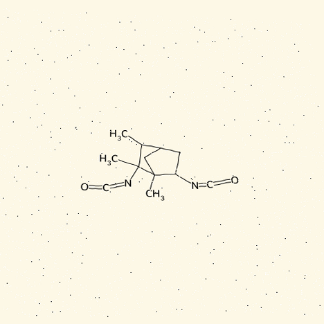 CC1C2CC(N=C=O)C(C)(C2)C1(C)N=C=O